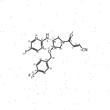 N#C/C=C/C(=O)N1C[C@@H](Nc2ncc(F)cn2)[C@H](OCc2ccc(C(F)(F)F)cc2)C1